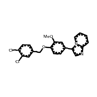 COc1cc(-c2cnc3ccccn23)ccc1OCc1ccc(Cl)c(Cl)c1